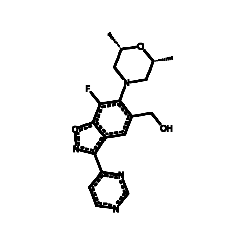 C[C@@H]1CN(c2c(CO)cc3c(-c4ccncn4)noc3c2F)C[C@H](C)O1